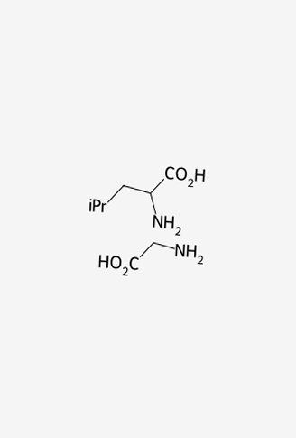 CC(C)CC(N)C(=O)O.NCC(=O)O